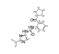 CC(C)c1nsc(NC(=O)Nc2ccccc2C(=O)C2CCCC2)n1